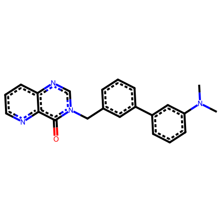 CN(C)c1cccc(-c2cccc(Cn3cnc4cccnc4c3=O)c2)c1